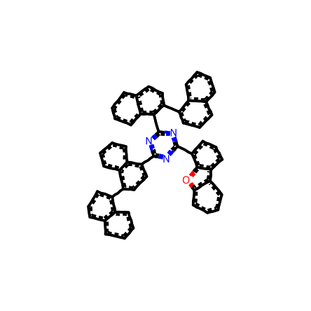 c1ccc2c(-c3ccc4ccccc4c3-c3nc(-c4ccc(-c5cccc6ccccc56)c5ccccc45)nc(-c4cccc5c4oc4ccccc45)n3)cccc2c1